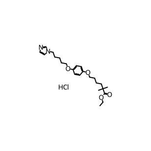 CCOC(=O)C(C)(C)CCCCOc1ccc(OCCCCCn2ccnc2)cc1.Cl